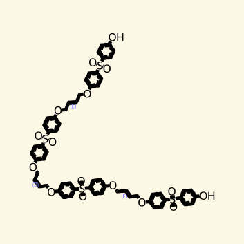 O=S(=O)(c1ccc(O)cc1)c1ccc(OC/C=C/COc2ccc(S(=O)(=O)c3ccc(OC/C=C\COc4ccc(S(=O)(=O)c5ccc(OC/C=C/COc6ccc(S(=O)(=O)c7ccc(O)cc7)cc6)cc5)cc4)cc3)cc2)cc1